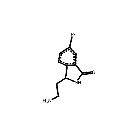 NCCC1NC(=O)c2cc(Br)ccc21